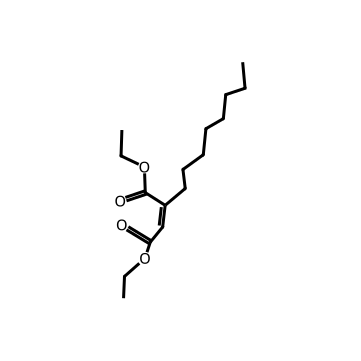 CCCCCCCC/C(=C/C(=O)OCC)C(=O)OCC